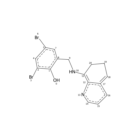 Oc1c(Br)cc(Br)cc1CNC1=c2ncccc2=CCC1